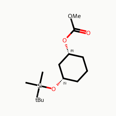 COC(=O)O[C@@H]1CCC[C@H](O[Si](C)(C)C(C)(C)C)C1